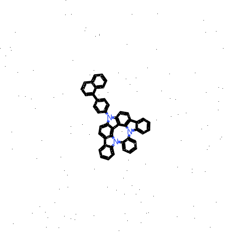 c1ccc2c(-c3ccc(-n4c5ccc6c7ccccc7n7c8ccccc8n8c9ccccc9c9ccc4c(c5c67)c98)cc3)cccc2c1